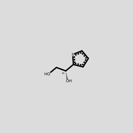 OC[C@@H](O)c1cccs1